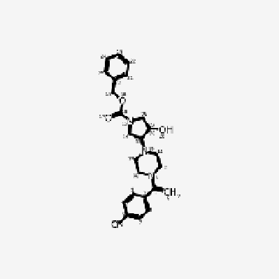 C=C(c1ccc(Cl)cc1)N1CCN(C2CN(C(=O)OCc3ccccc3)C[C@H]2O)CC1